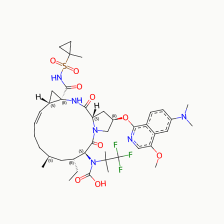 CC[C@@H]1C[C@@H](C)CCC=C[C@@H]2C[C@@]2(C(=O)NS(=O)(=O)C2(C)CC2)NC(=O)[C@@H]2C[C@@H](Oc3ncc(OC)c4cc(N(C)C)ccc34)CN2C(=O)[C@H]1N(C(=O)O)C(C)(C)C(F)(F)F